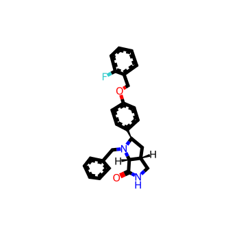 O=C1NC[C@H]2C[C@H](c3ccc(OCc4ccccc4F)cc3)N(Cc3ccccc3)[C@@H]12